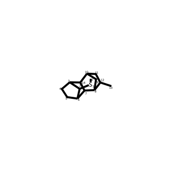 CSC1C2CCC1C1C3CC(CC3C)C21